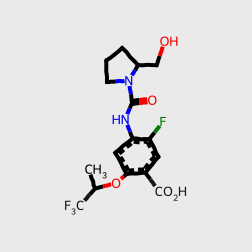 CC(Oc1cc(NC(=O)N2CCCC2CO)c(F)cc1C(=O)O)C(F)(F)F